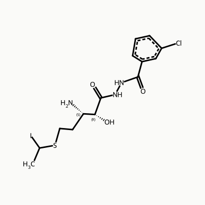 CC(I)SCC[C@H](N)[C@@H](O)C(=O)NNC(=O)c1cccc(Cl)c1